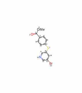 COC(=O)c1ccc(Sc2cncc(Br)c2)cc1